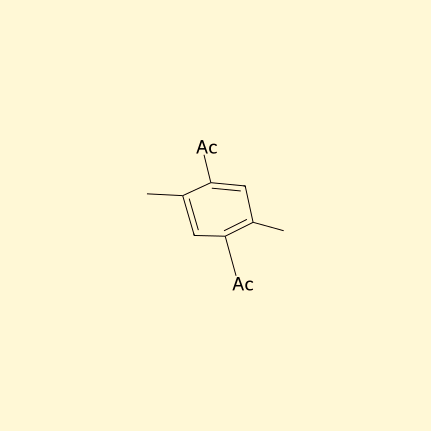 CC(=O)c1cc(C)c(C(C)=O)cc1C